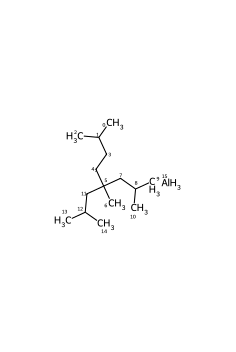 CC(C)C[CH]C(C)(CC(C)C)CC(C)C.[AlH3]